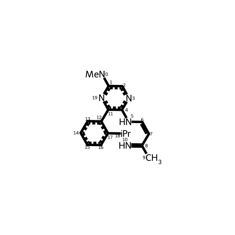 CNc1cnc(N/C=C\C(C)=N)c(-c2ccccc2C(C)C)n1